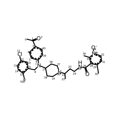 CC(=O)c1ccc(N(Cc2cc(Cl)ccc2F)C2CCN(C(C)CCNC(=O)c3c(C)cc[n+]([O-])c3C)CC2)cc1